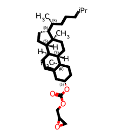 CC(C)CCC[C@@H](C)[C@H]1CC[C@H]2[C@@H]3CC=C4C[C@@H](OC(=O)OCC5CO5)CC[C@]4(C)[C@H]3CC[C@]12C